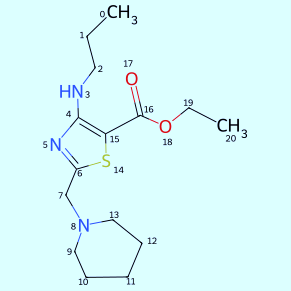 CCCNc1nc(CN2CCCCC2)sc1C(=O)OCC